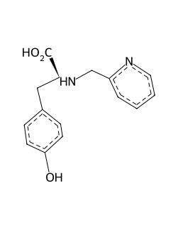 O=C(O)[C@H](Cc1ccc(O)cc1)NCc1ccccn1